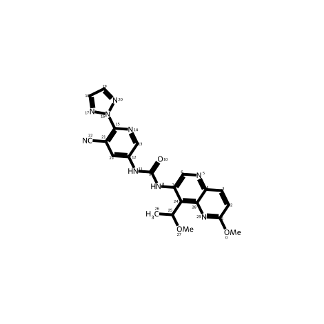 COc1ccc2ncc(NC(=O)Nc3cnc(-n4nccn4)c(C#N)c3)c(C(C)OC)c2n1